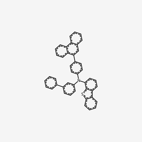 c1ccc(-c2cccc(N(c3ccc(-c4cc5ccccc5c5ccccc45)cc3)c3cccc4c3sc3ccccc34)c2)cc1